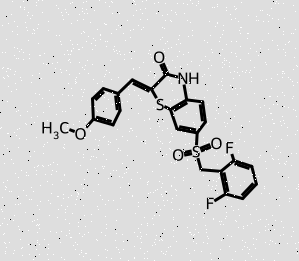 COc1ccc(C=C2Sc3cc(S(=O)(=O)Cc4c(F)cccc4F)ccc3NC2=O)cc1